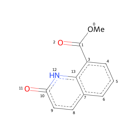 COC(=O)c1cccc2ccc(=O)[nH]c12